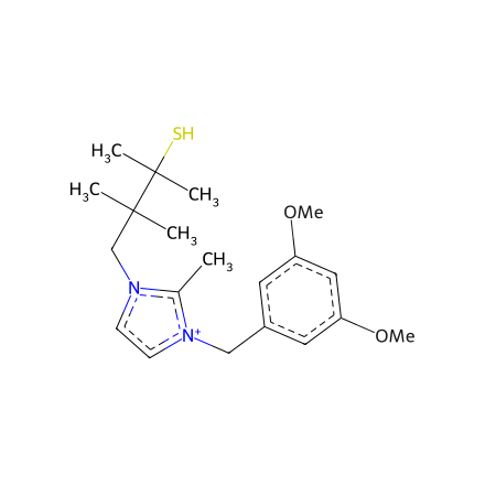 COc1cc(C[n+]2ccn(CC(C)(C)C(C)(C)S)c2C)cc(OC)c1